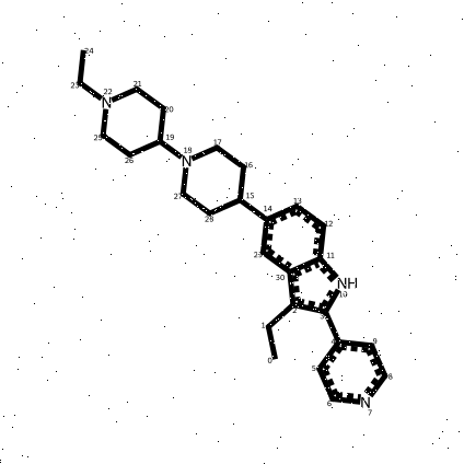 CCc1c(-c2ccncc2)[nH]c2ccc(C3CCN(C4CCN(CC)CC4)CC3)cc12